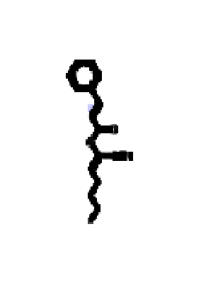 CCCCC=C(C#N)OC(=O)/C=C/c1ccccc1